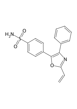 C=Cc1nc(-c2ccccc2)c(-c2ccc(S(N)(=O)=O)cc2)o1